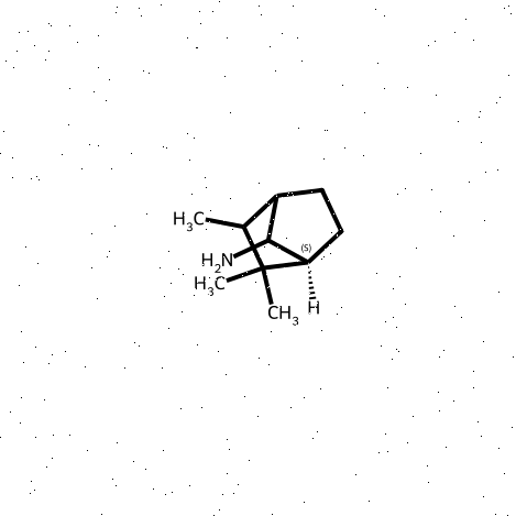 CC1C2CC[C@H](C2N)C1(C)C